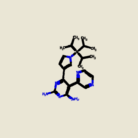 CC(C)[Si](C(C)C)(C(C)C)n1ccc(-c2nc(N)nc(N)c2-c2cnccn2)c1